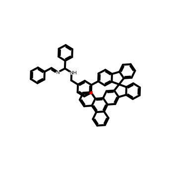 C(=N\C(NCc1cccc(-c2ccc3c(c2)C2(c4ccccc4-3)c3ccccc3-c3cc4c5ccccc5c5ccccc5c4cc32)c1)c1ccccc1)/c1ccccc1